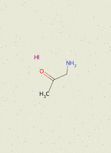 CC(=O)CN.I